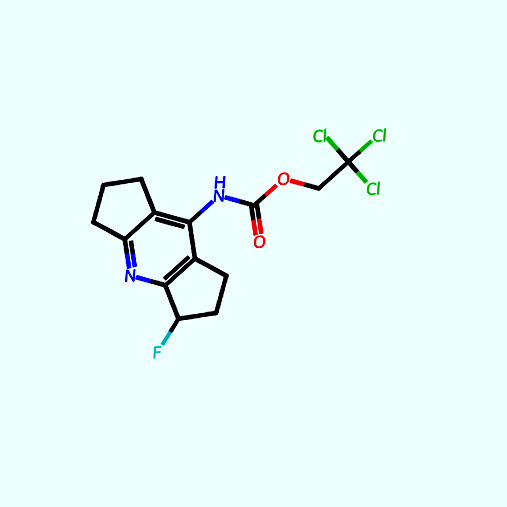 O=C(Nc1c2c(nc3c1CCC3F)CCC2)OCC(Cl)(Cl)Cl